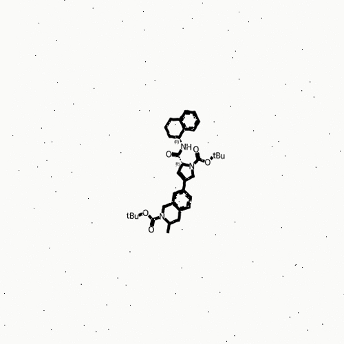 CC1Cc2ccc(C3=C[C@H](C(=O)N[C@@H]4CCCc5ccccc54)N(C(=O)OC(C)(C)C)C3)cc2CN1C(=O)OC(C)(C)C